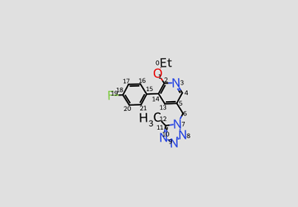 CCOc1ncc(Cn2nnnc2C)cc1-c1ccc(F)cc1